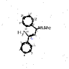 CNC(/C=C(\N)c1ccccc1)c1ccccc1